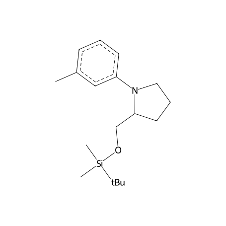 Cc1cccc(N2CCCC2CO[Si](C)(C)C(C)(C)C)c1